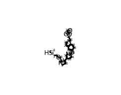 C[SiH](C)CCOCn1nccc1-c1ccc(Oc2ccc3c(ccn3CCOS(C)(=O)=O)c2)nc1